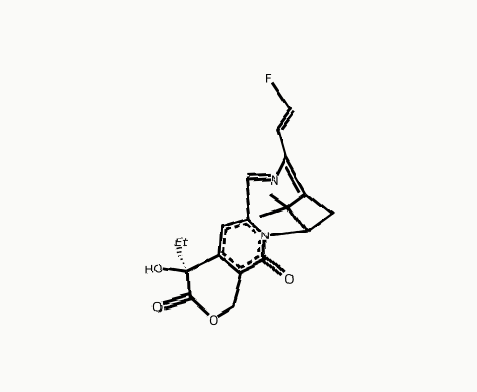 CC[C@@]1(O)C(=O)OCc2c1cc1n(c2=O)C2C/C(=C(/C=C/F)\N=C\1)C2(C)C